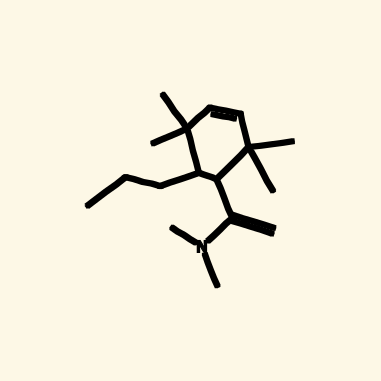 C=C(C1C(CCC)C(C)(C)C=CC1(C)C)N(C)C